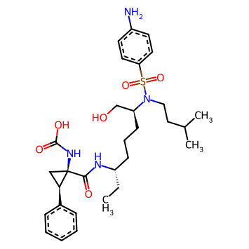 CC[C@@H](CCC[C@@H](CO)N(CCC(C)C)S(=O)(=O)c1ccc(N)cc1)NC(=O)[C@@]1(NC(=O)O)C[C@@H]1c1ccccc1